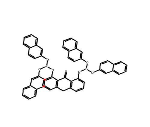 O=C1c2c(cccc2OP(Oc2ccc3ccccc3c2)Oc2ccc3ccccc3c2)Cc2cccc(OP(Oc3ccc4ccccc4c3)Oc3ccc4ccccc4c3)c21